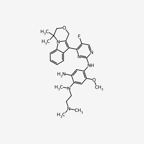 COc1cc(N(C)CCN(C)C)c(N)cc1Nc1ncc(F)c(-c2c3n(c4ccccc24)C(C)(C)COC3)n1